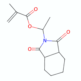 C=C(C)C(=O)OC(C)N1C(=O)C2CCCCC2C1=O